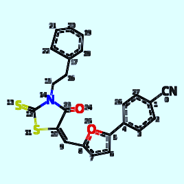 N#Cc1ccc(-c2ccc(C=C3SC(=S)N(CCc4ccccc4)C3=O)o2)cc1